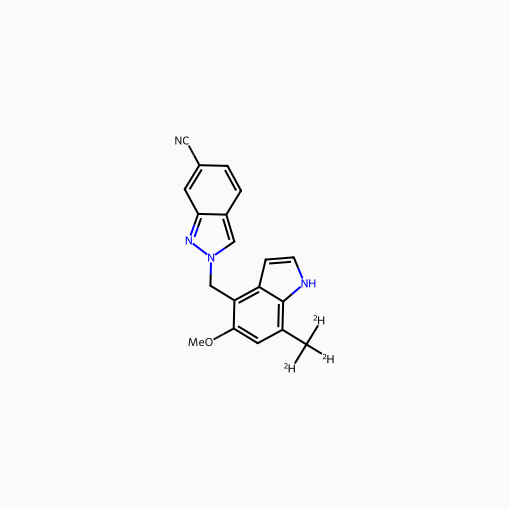 [2H]C([2H])([2H])c1cc(OC)c(Cn2cc3ccc(C#N)cc3n2)c2cc[nH]c12